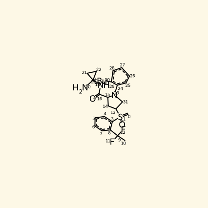 C=S(=O)(c1ccccc1C(C)(F)F)C1CC(C(=O)NC2(N)CC2)N(c2ccccc2C(C)(C)C)C1